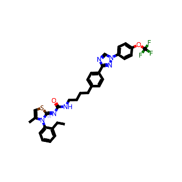 CCc1ccccc1-n1c(C)cs/c1=N\C(=O)NCCCCc1ccc(-c2ncn(-c3ccc(OC(F)(F)F)cc3)n2)cc1